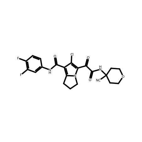 N#CC1(NC(=O)C(=O)c2c(Cl)c(C(=O)Nc3ccc(F)c(F)c3)c3n2CCC3)CCOCC1